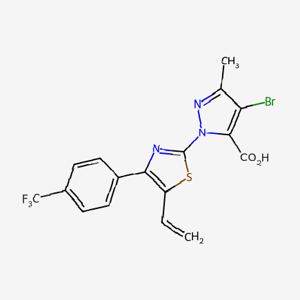 C=Cc1sc(-n2nc(C)c(Br)c2C(=O)O)nc1-c1ccc(C(F)(F)F)cc1